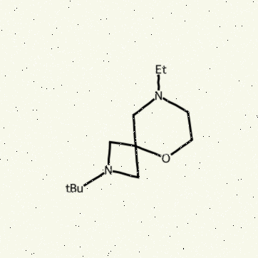 CCN1CCOC2(C1)CN(C(C)(C)C)C2